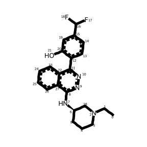 CCN1CCC[C@@H](Nc2nnc(-c3ccc(C(F)F)cc3O)c3ccccc23)C1